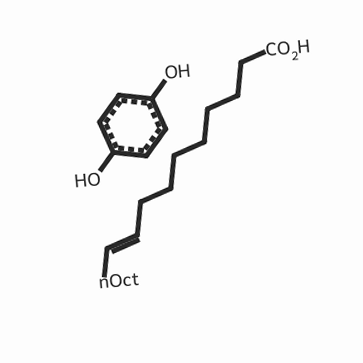 CCCCCCCCC=CCCCCCCCC(=O)O.Oc1ccc(O)cc1